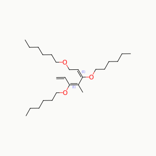 C=C/C(OCCCCCC)=C(C)\C(=C/COCCCCCC)OCCCCCC